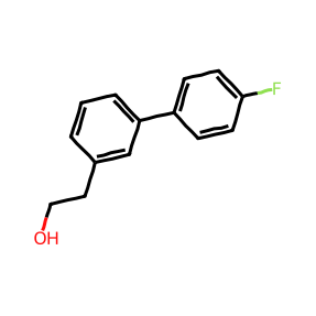 OCCc1cccc(-c2ccc(F)cc2)c1